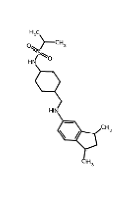 CC1CC(C)c2cc(NCC3CCC(NS(=O)(=O)C(C)C)CC3)ccc21